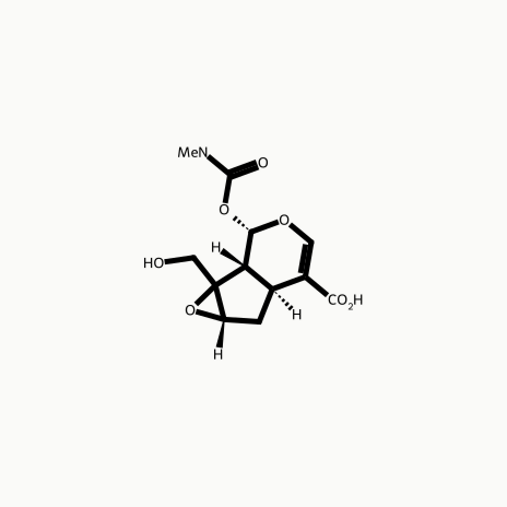 CNC(=O)O[C@@H]1OC=C(C(=O)O)[C@H]2C[C@@H]3OC3(CO)[C@H]12